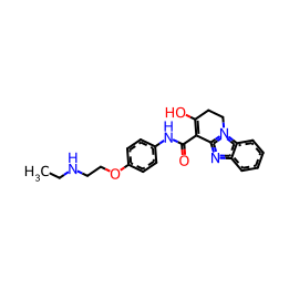 CCNCCOc1ccc(NC(=O)C2=C(O)CCn3c2nc2ccccc23)cc1